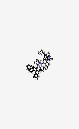 C=C/C=C\C1C=C(/C(c2ccccc2)=c2\cccc\c2=C/c2nc3c4ccccc4ccc3c3c2ccc2ccccc23)C=CC1/C(C=C)=C(C=C)\N=C\c1ccccc1